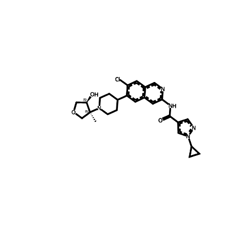 C[C@]1(N2CCC(c3cc4cc(NC(=O)c5cnn(C6CC6)c5)ncc4cc3Cl)CC2)COC[C@H]1O